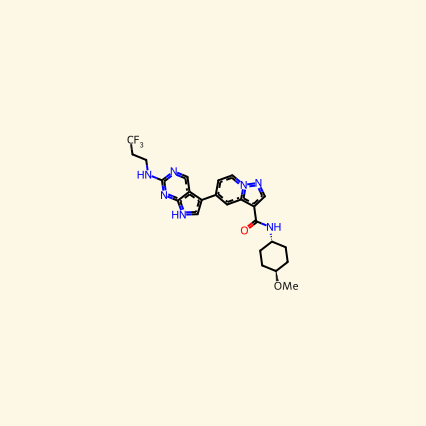 CO[C@H]1CC[C@H](NC(=O)c2cnn3ccc(-c4c[nH]c5nc(NCCC(F)(F)F)ncc45)cc23)CC1